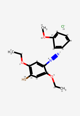 CCOc1cc([N+]#N)c(OCC)cc1S.COc1ccccc1.[Cl-]